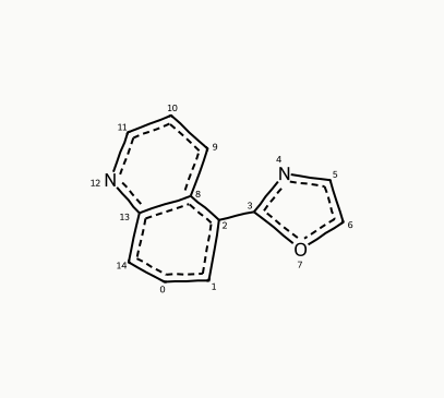 c1cc(-c2ncco2)c2cccnc2c1